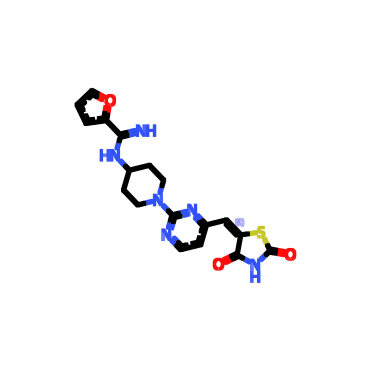 N=C(NC1CCN(c2nccc(/C=C3/SC(=O)NC3=O)n2)CC1)c1ccco1